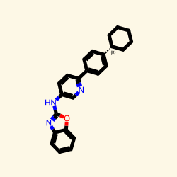 [CH]1CCC[C@H](c2ccc(-c3ccc(Nc4nc5ccccc5o4)cn3)cc2)C1